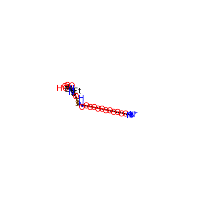 CCc1c2c(nc3ccc(OCCCSSC(C)(C)CNC(=O)CCOCCOCCOCCOCCOCCOCCOCCOCCOCCOCCOCCN=[N+]=[N-])cc13)-c1cc3c(c(=O)n1C2)COC(=O)[C@]3(O)CC